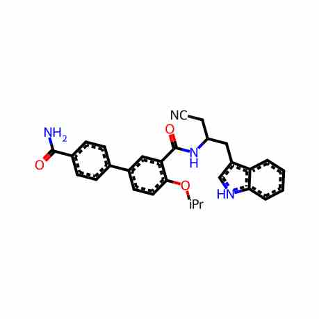 CC(C)Oc1ccc(-c2ccc(C(N)=O)cc2)cc1C(=O)NC(CC#N)Cc1c[nH]c2ccccc12